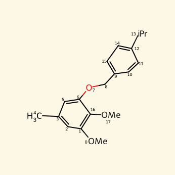 COc1cc(C)cc(OCc2ccc(C(C)C)cc2)c1OC